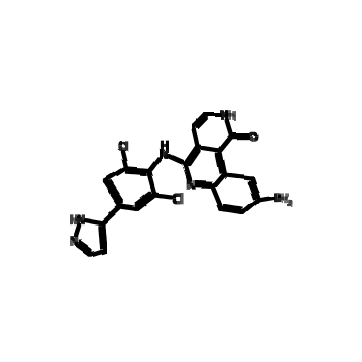 Bc1ccc2nc(Nc3c(Cl)cc(-c4ccn[nH]4)cc3Cl)c3cc[nH]c(=O)c3c2c1